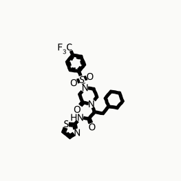 O=C(Nc1nccs1)C(CC1CCCCC1)N1CCN(S(=O)(=O)c2ccc(C(F)(F)F)cc2)CC1=O